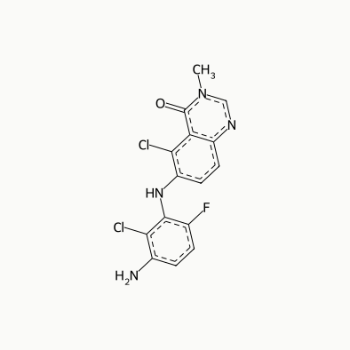 Cn1cnc2ccc(Nc3c(F)ccc(N)c3Cl)c(Cl)c2c1=O